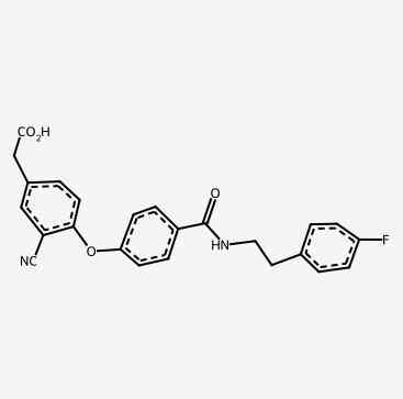 N#Cc1cc(CC(=O)O)ccc1Oc1ccc(C(=O)NCCc2ccc(F)cc2)cc1